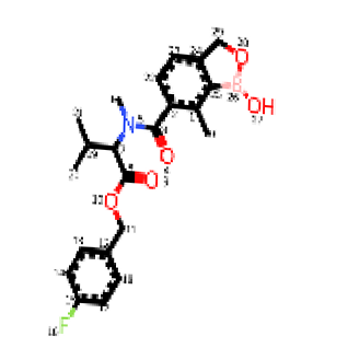 Cc1c(C(=O)N(C)C(C(=O)OCc2ccc(F)cc2)C(C)C)ccc2c1B(O)OC2